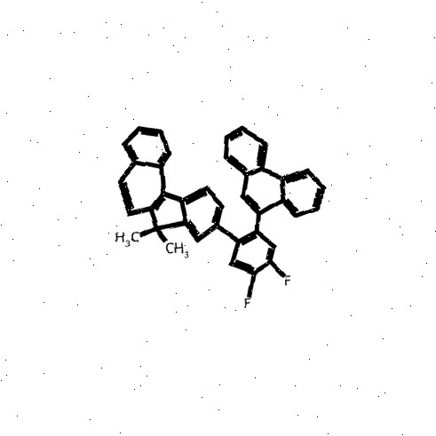 CC1(C)c2cc(-c3cc(F)c(F)cc3-c3cc4ccccc4c4ccccc34)ccc2-c2c1ccc1ccccc21